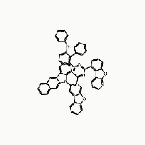 c1ccc(-n2c3ccccc3c3c(-c4nc(-c5cc6oc7ccccc7c6cc5-n5c6ccccc6c6cc7ccccc7cc65)nc(-c5cccc6oc7ccccc7c56)n4)cccc32)cc1